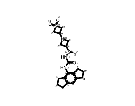 O=C(Nc1c2c(cc3c1CCC3)CCC2)N[S+]([O-])C1CN(C2CS(=O)(=O)C2)C1